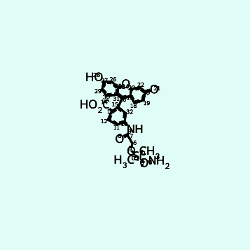 C[Si](C)(ON)OCC(=O)Nc1ccc(C(=O)O)c(-c2c3ccc(=O)cc-3oc3cc(O)ccc23)c1